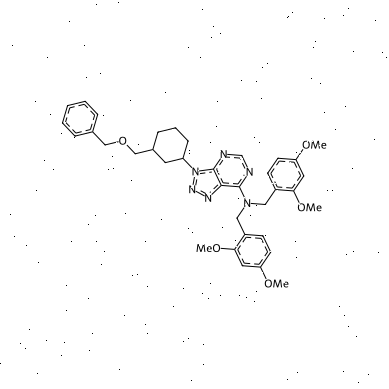 COc1ccc(CN(Cc2ccc(OC)cc2OC)c2ncnc3c2nnn3C2CCCC(COCc3ccccc3)C2)c(OC)c1